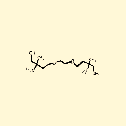 CC(C)(CO)CCOCCOCCC(C)(C)CO